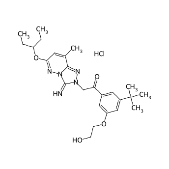 CCC(CC)Oc1cc(C)c2nn(CC(=O)c3cc(OCCO)cc(C(C)(C)C)c3)c(=N)n2n1.Cl